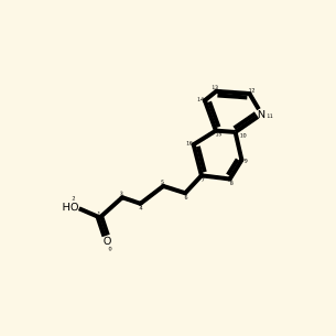 O=C(O)CCCCc1ccc2ncccc2c1